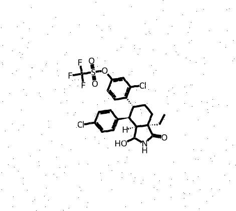 CC[C@@]12CC[C@@H](c3ccc(OS(=O)(=O)C(F)(F)F)cc3Cl)[C@H](c3ccc(Cl)cc3)[C@@H]1C(O)NC2=O